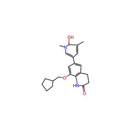 CC1=CC(c2cc3c(c(OCC4CCCC4)c2)NC(=O)CC3)=CN(C)C1O